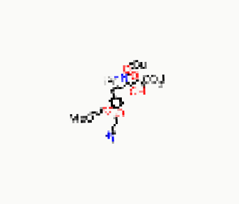 COCCCOc1cc(C[C@@H](C[C@H](NC(=O)OC(C)(C)C)[C@@H](O)C[C@@H](C)C(=O)O)C(C)C)ccc1OCCCCN(C)C